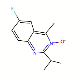 Cc1c2cc(F)ccc2nc(C(C)C)[n+]1[O-]